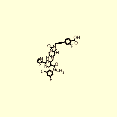 COC(=O)C1=C(CN2CCN3C(=O)N(CC#Cc4ccc(C(=O)O)c(F)c4)C[C@@H]3C2)NC(c2nccs2)=N[C@H]1c1ccc(F)cc1Cl